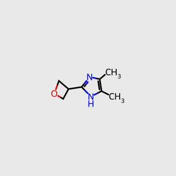 Cc1nc(C2COC2)[nH]c1C